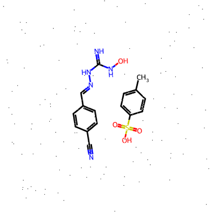 Cc1ccc(S(=O)(=O)O)cc1.N#Cc1ccc(C=NNC(=N)NO)cc1